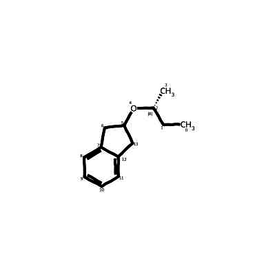 CC[C@@H](C)OC1Cc2ccccc2C1